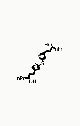 CCCC(O)CCc1csc(Sc2cc(CCC(O)CCC)cs2)c1